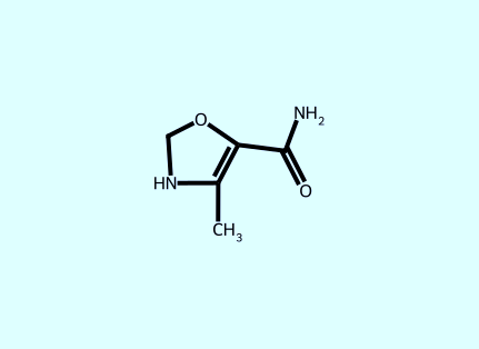 CC1=C(C(N)=O)OCN1